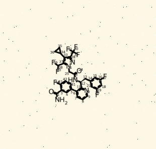 NC(=O)c1cc(-c2cccnc2[C@H](Cc2cc(F)cc(F)c2)NC(=O)Cn2nc(C(F)(F)F)c(C3CC3)c2C(F)F)ccc1F